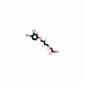 CC(C)C(=O)COCC(F)C(F)COc1ccc(C(C)C)c(C(F)(F)F)c1